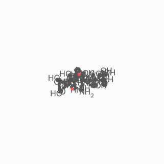 CC(C)C[C@H](NC(=O)[C@H](Cc1ccc(O)cc1)NC(=O)C(CCCNC(=N)N)NC(=O)C(CO)NC(=O)C(Cc1ccccc1)NC(=O)[C@H](CC1CCCCC1)NC(=O)[C@@H](CC(=O)O)NC(=O)CN1CCN(CC(=O)O)CCN(CC(=O)O)CC1)C(=O)N[C@@H](Cc1c[nH]c2ccccc12)C(=O)N[C@@H](CO)C(=O)O